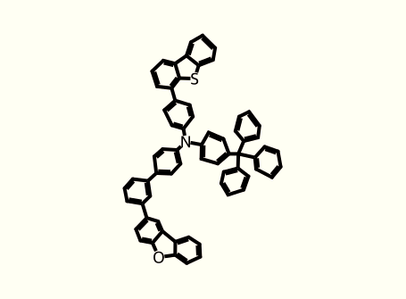 c1ccc(C(c2ccccc2)(c2ccccc2)c2ccc(N(c3ccc(-c4cccc(-c5ccc6oc7ccccc7c6c5)c4)cc3)c3ccc(-c4cccc5c4sc4ccccc45)cc3)cc2)cc1